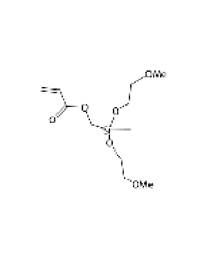 C=CC(=O)OC[Si](C)(OCCOC)OCCOC